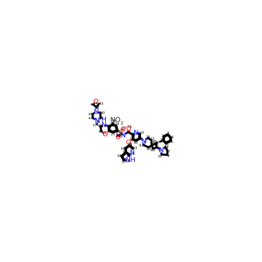 CC(C)c1ccccc1[C@@H]1CCCN1C1CC2(CCN(c3cnc(C(=O)NS(=O)(=O)c4cc5c(c([N+](=O)[O-])c4)N[C@@H](CN4CCN(C6COC6)CC4)CO5)c(Oc4cnc5[nH]ccc5c4)c3)CC2)C1